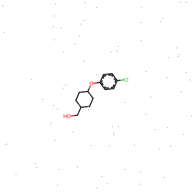 OCC1CCC(Oc2ccc(Cl)cc2)CC1